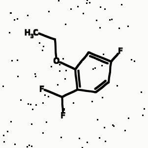 CCOc1cc(F)ccc1C(F)F